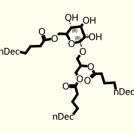 CCCCCCCCCCCCCC(=O)OCC(CO[C@@H]1OC(COC(=O)CCCCCCCCCCCCC)[C@H](O)C(O)[C@@H]1O)OC(=O)CCCCCCCCCCCCC